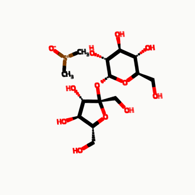 C[S+](C)[O-].OC[C@H]1O[C@@](CO)(O[C@H]2O[C@H](CO)[C@@H](O)[C@H](O)[C@H]2O)[C@@H](O)[C@@H]1O